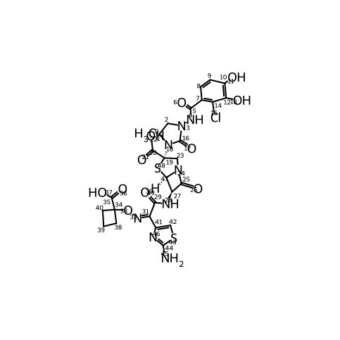 C[C@@H]1CN(NC(=O)c2ccc(O)c(O)c2Cl)C(=O)N1[C@]1(C(=O)O)CN2C(=O)[C@@H](NC(=O)/C(=N\OC3(C(=O)O)CCC3)c3csc(N)n3)[C@H]2S1